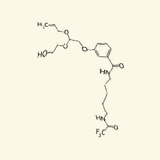 C=CCOC(COc1cccc(C(=O)NCCCCCNC(=O)C(F)(F)F)c1)OCCO